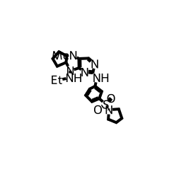 CCNN(c1nc(Nc2cccc(S(=O)(=O)N3CCCC3)c2)ncc1NC)C1CCCC1